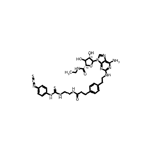 CCNC(=O)[C@H]1OC(n2cnc3c(N)nc(NCCc4ccc(CCC(=O)NCCNC(=S)Nc5ccc(N=C=S)cc5)cc4)nc32)[C@@H](O)C1O